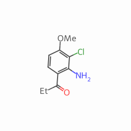 CCC(=O)c1ccc(OC)c(Cl)c1N